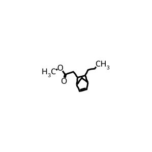 CCCC1C2C=CC(C2)C1CC(=O)OC